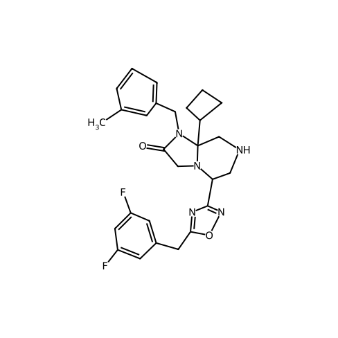 Cc1cccc(CN2C(=O)CN3C(c4noc(Cc5cc(F)cc(F)c5)n4)CNCC23C2CCC2)c1